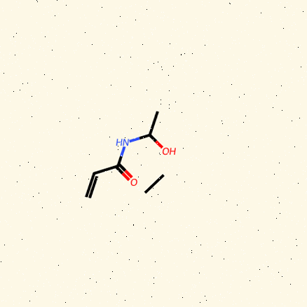 C=CC(=O)NC(C)O.CC